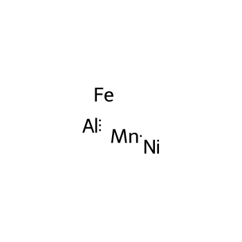 [Al].[Fe].[Mn].[Ni]